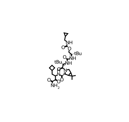 CC1(C)C2CN(C(=O)[C@@H](NC(=O)N[C@H](COC(=O)NCC3CC3)C(C)(C)C)C(C)(C)C)[C@H](C(=O)NC(CC3CCC3)C(=O)C(N)=O)C21